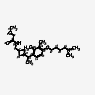 COCC(=O)NCC1CN(C(C)c2ccc(OCCCCN(C)C)c(C)c2C)C1